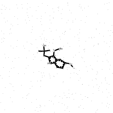 CC(C)(O)Cc1[nH]c2ccc(OI)cc2c1SC(C)(C)C